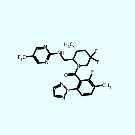 Cc1ccc(-n2nccn2)c(C(=O)N2CC(F)(F)C[C@@H](C)C2CNc2ncc(C(F)(F)F)cn2)c1F